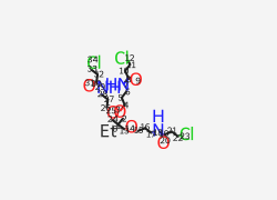 CCC(COCCCNC(=O)CCCl)(COCCCNC(=O)CCCl)COCCCNC(=O)CCCl